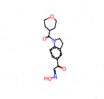 O=C(C=NO)c1ccc2c(c1)CCN2C(=O)C1CCOCC1